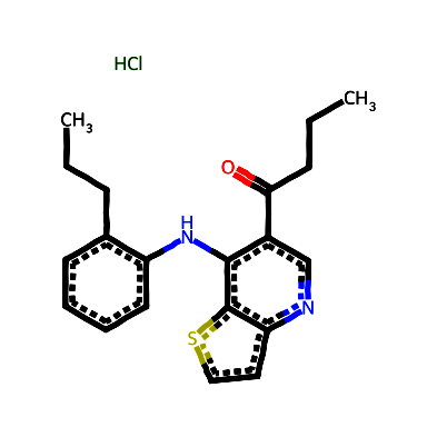 CCCC(=O)c1cnc2ccsc2c1Nc1ccccc1CCC.Cl